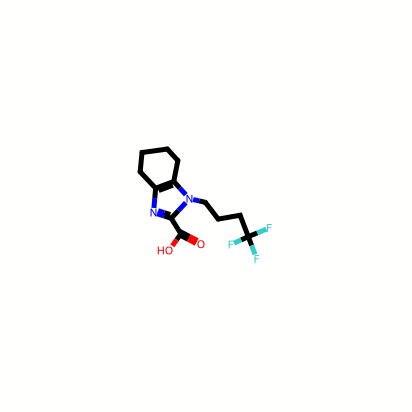 O=C(O)c1nc2c(n1CCCC(F)(F)F)CCCC2